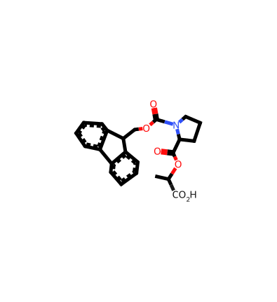 CC(OC(=O)C1CCCN1C(=O)OCC1c2ccccc2-c2ccccc21)C(=O)O